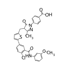 COc1cccc(NC(=O)c2cc(-c3ccc(CC4C(=O)N(c5ccc(C(=O)O)cc5)N=C4C)s3)ccc2Cl)c1